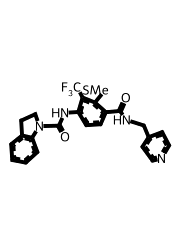 CSc1c(C(=O)NCc2ccncc2)ccc(NC(=O)N2CCc3ccccc32)c1C(F)(F)F